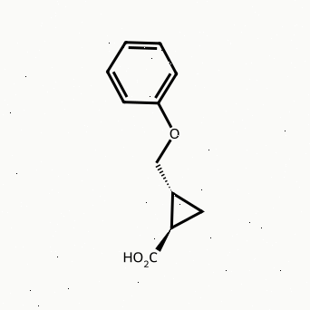 O=C(O)[C@@H]1C[C@H]1COc1ccccc1